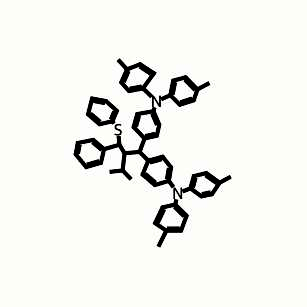 Cc1ccc(N(c2ccc(C)cc2)c2ccc(C(c3ccc(N(c4ccc(C)cc4)c4ccc(C)cc4)cc3)C(C(C)C)C(Sc3ccccc3)c3ccccc3)cc2)cc1